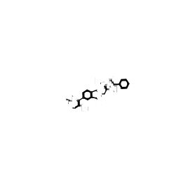 C[C@H](O)[C@@H](NC(=O)CN1Cc2ccc(-c3nc(Cl)ncc3Br)cc2C1=O)c1ccccc1